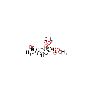 COC(=O)O[C@@H]1CC2=CC=C3[C@@H]4CC[C@H](C(C)CBr)[C@@]4(C)CC[C@@H]3[C@@]2(C)[C@@H](OC(=O)OC)C1